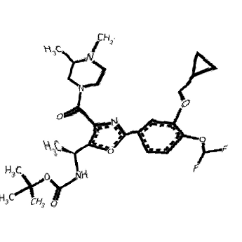 [CH2]N1CCN(C(=O)c2nc(-c3ccc(OC(F)F)c(OCC4CC4)c3)oc2[C@H](C)NC(=O)OC(C)(C)C)CC1C